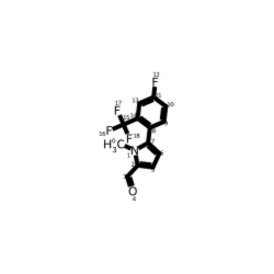 Cn1c(C=O)ccc1-c1ccc(F)cc1C(F)(F)F